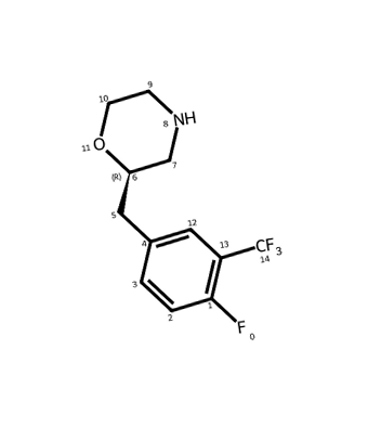 Fc1ccc(C[C@@H]2CNCCO2)cc1C(F)(F)F